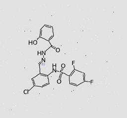 O=C(N/N=C/c1cc(Cl)ccc1NS(=O)(=O)c1ccc(F)cc1F)c1ccccc1O